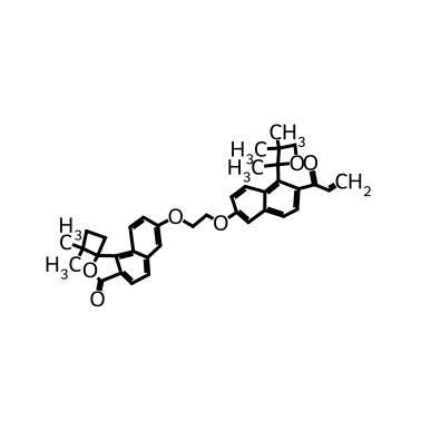 C=CC(=O)c1ccc2cc(OCCOc3ccc4c5c(ccc4c3)C(=O)OC53CCC3(C)C)ccc2c1C1(C)OCC1(C)C